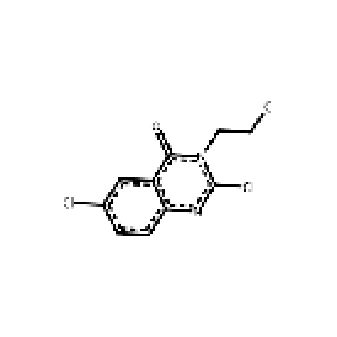 O=c1c2cc(Cl)ccc2nc(Cl)n1CCCl